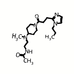 CCCn1ccnc1CCC(=O)N1CCC(N(C)CCNC(C)=O)CC1